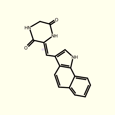 O=C1CNC(=O)/C(=C/c2c[nH]c3c2ccc2ccccc23)N1